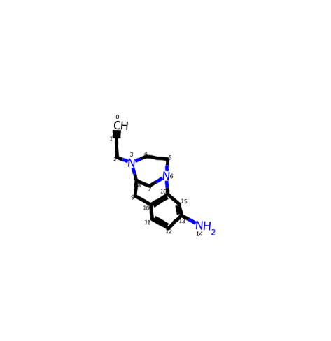 C#CCN1CCN2CC1Cc1ccc(N)cc12